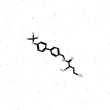 CCCC(N)C(=O)NCc1ccc(-c2ccc(OC(F)(F)F)cc2)cc1